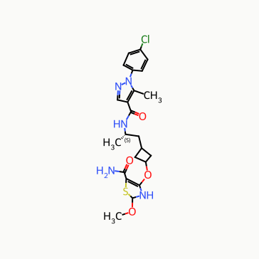 COC1NC(OC2CC(C[C@H](C)NC(=O)c3cnn(-c4ccc(Cl)cc4)c3C)C2)=C(C(N)=O)S1